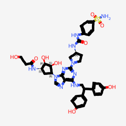 NS(=O)(=O)c1ccc(NC(=O)N[C@@H]2CCN(c3nc(NCC(c4ccc(O)cc4)c4ccc(O)cc4)c4ncn([C@@H]5C[C@H](NC(=O)CCO)[C@@H](O)[C@H]5O)c4n3)C2)cc1